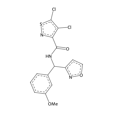 COc1cccc(C(NC(=O)c2nsc(Cl)c2Cl)c2ccon2)c1